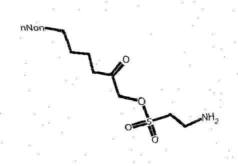 CCCCCCCCCCCCCC(=O)COS(=O)(=O)CCN